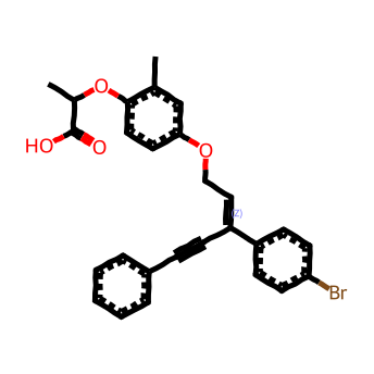 Cc1cc(OC/C=C(\C#Cc2ccccc2)c2ccc(Br)cc2)ccc1OC(C)C(=O)O